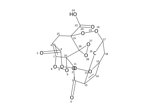 O=C1OOC(=O)C2=C3OOC34OOC3C=C1CC(C3)OOC(C(=O)O)(C2)C41OO1